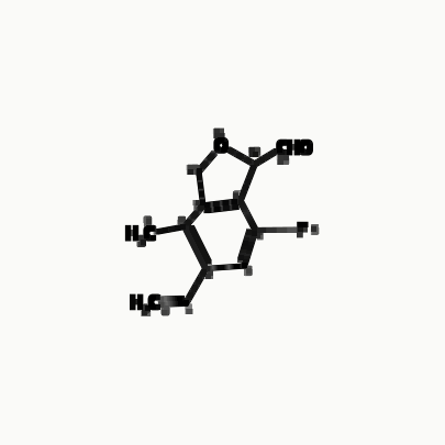 C=Cc1cc(F)c2c(c1C)COC2C=O